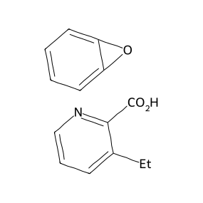 CCc1cccnc1C(=O)O.c1ccc2c(c1)O2